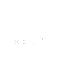 CCOC(=O)c1c2c(c(-c3ccc(Br)cc3)n1C(=O)OC(C)(C)C)CCCC2